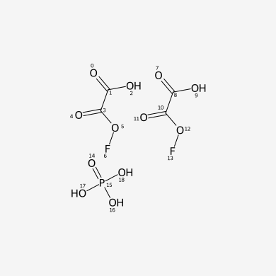 O=C(O)C(=O)OF.O=C(O)C(=O)OF.O=P(O)(O)O